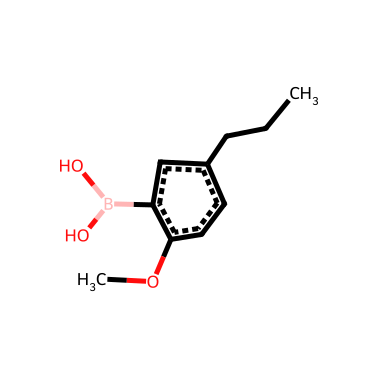 CCCc1ccc(OC)c(B(O)O)c1